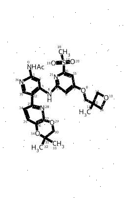 CC(=O)Nc1cc(Nc2cc(OCC3(C)COC3)cc(S(C)(=O)=O)n2)c(-c2ccc3c(n2)OCC(C)(C)O3)cn1